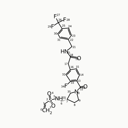 C=CS(=O)(=O)NC[C@H]1CCN(C(=O)c2ccc(CC(=O)NCc3ccc(C(F)(F)F)cc3)cc2F)C1